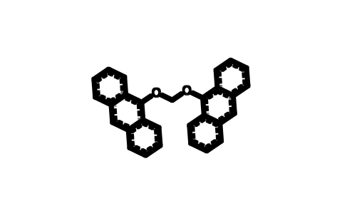 c1ccc2c(OCOc3c4ccccc4cc4ccccc34)c3ccccc3cc2c1